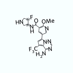 COc1ncc(-c2cc(C(F)(F)F)c3c(N)ncnn23)cc1C(=O)N[C@@H]1CNC[C@@H]1F